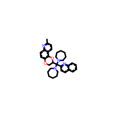 Cc1ccc2c3c(ccc2n1)OCC(C(c1ccc2ccccc2n1)(N1CCCCCC1)N1CCCCCC1)O3